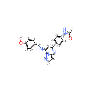 COc1ccc(CNc2cc(-c3ccc(NC(C)=O)cc3)nc3ccnn23)cc1